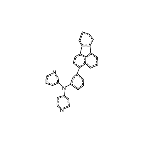 c1cncc(N(c2ccncc2)c2cccc(-c3ccc4c5c(cccc35)-c3ccccc3-4)c2)c1